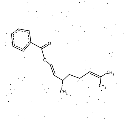 CC(C)=CCCC(C)C=COC(=O)c1ccccc1